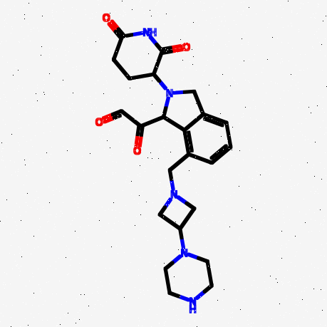 O=CC(=O)C1c2c(CN3CC(N4CCNCC4)C3)cccc2CN1C1CCC(=O)NC1=O